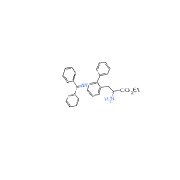 CCOC(=O)C(N)Cc1ccccc1-c1ccccc1.N=C(c1ccccc1)c1ccccc1